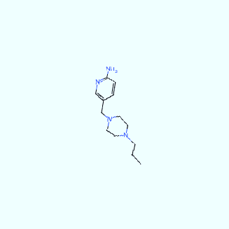 CCCN1CCN(Cc2ccc(N)nc2)CC1